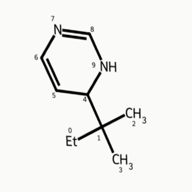 CCC(C)(C)C1C=CN=CN1